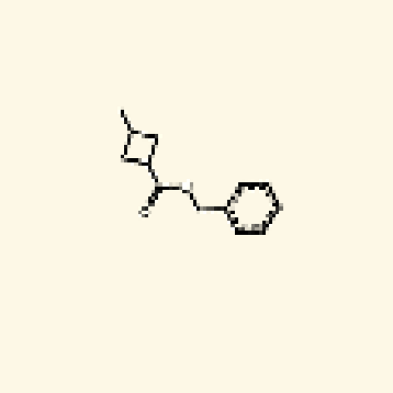 CC1CC(C(=O)OCc2ccccc2)C1